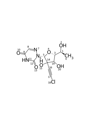 C[C@H](O)[C@H]1O[C@@H](n2ncc(=O)[nH]c2=O)C(O)(C#CCl)C1O